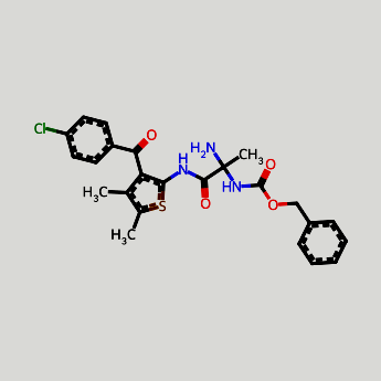 Cc1sc(NC(=O)C(C)(N)NC(=O)OCc2ccccc2)c(C(=O)c2ccc(Cl)cc2)c1C